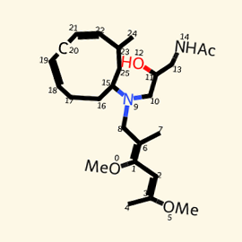 COC(/C=C(\C)OC)=C(/C)CN(CC(O)CNC(C)=O)C1CC/C=C\C/C=C\C(C)C1